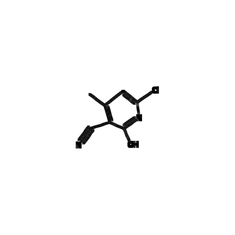 Cc1cc(Cl)nc(O)c1C#N